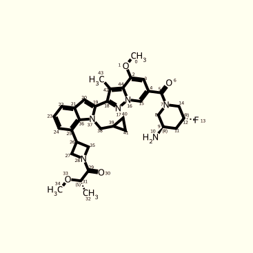 COc1cc(C(=O)N2C[C@H](N)C[C@@H](F)C2)cn2nc(-c3cc4cccc(C5CN(C(=O)[C@H](C)OC)C5)c4n3CC3CC3)c(C)c12